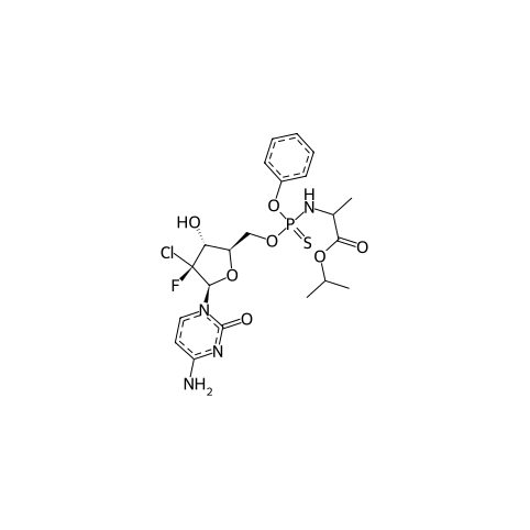 CC(C)OC(=O)C(C)NP(=S)(OC[C@H]1O[C@@H](n2ccc(N)nc2=O)[C@](F)(Cl)[C@@H]1O)Oc1ccccc1